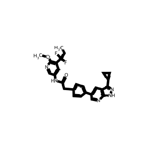 CCC(F)(F)c1cc(NC(=O)Cc2ccc(-c3cnc4[nH]nc(C5CC5)c4c3)cc2)cnc1OC